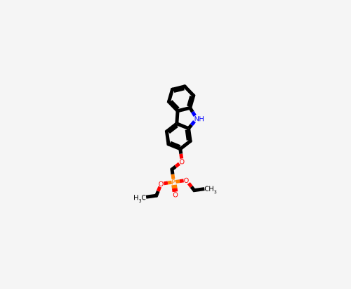 CCOP(=O)(COc1ccc2c(c1)[nH]c1ccccc12)OCC